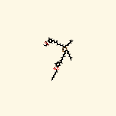 CCCCCCCC(=O)Oc1cccc(CCCCCCCC2SSC(CCCCCCCc3cccc(OC(=O)CC)c3)C(CCCCCC)SC2CCCCCC)c1